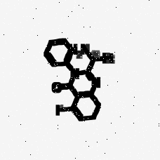 CC[C@H](N)c1nc2c(c(=O)n1-c1ccccc1)C(F)=CCC2